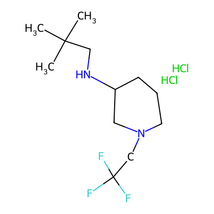 CC(C)(C)CNC1CCCN(CC(F)(F)F)C1.Cl.Cl